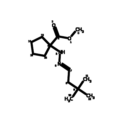 COC(=O)C1(NN=CCC(C)(C)C)CCCC1